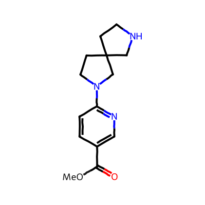 COC(=O)c1ccc(N2CCC3(CCNC3)C2)nc1